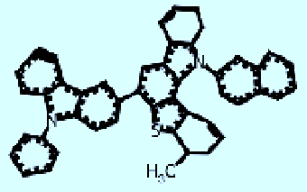 CC1CC=Cc2c1sc1c(-c3ccc4c(c3)c3c#cccc3n4-c3ccccc3)cc3c4c(n(-c5ccc6ccccc6c5)c3c21)CCC=C4